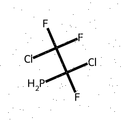 FC(F)(Cl)C(F)(P)Cl